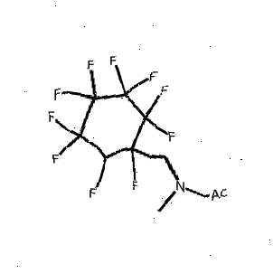 CC(=O)N(C)CC1(F)C(F)C(F)(F)C(F)(F)C(F)(F)C1(F)F